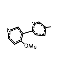 COc1ccncc1-c1[c]cc(C)cn1